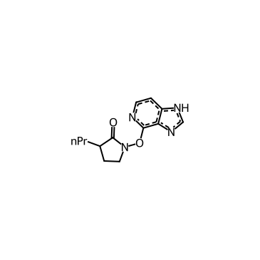 CCCC1CCN(Oc2nccc3[nH]cnc23)C1=O